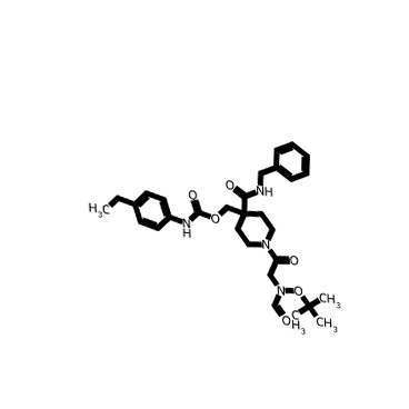 CCc1ccc(NC(=O)OCC2(C(=O)NCc3ccccc3)CCN(C(=O)CN(C=O)OC(C)(C)C)CC2)cc1